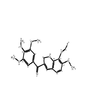 COc1cc(C(=O)C2=Cc3ccc(OC)c(OCF)c3OC2)cc(OC)c1OC